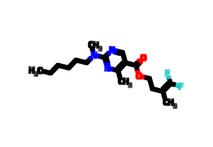 CCCCCCN(C)c1ncc(C(=O)OCCC(C)=C(F)F)c(C)n1